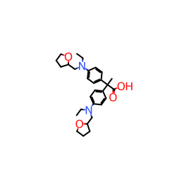 CCN(CC1CCCO1)c1ccc(C(C)(C(=O)O)c2ccc(N(CC)CC3CCCO3)cc2)cc1